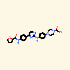 CC(C)C(=O)N1CCN(c2ccc(Nc3nccc(-c4ccc(NC(=O)C5CCCO5)cc4)n3)cc2)CC1